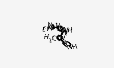 CCn1cc(-c2cc3c(-c4cc(C)cc(N5CCCNCC5)n4)n[nH]c3cn2)cn1